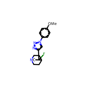 COc1ccc(-n2cc(C3(F)CN4CCC3CC4)nn2)cc1